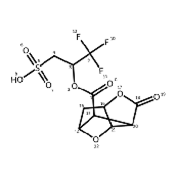 O=C(OC(CS(=O)(=O)O)C(F)(F)F)C1C2CC3OC(=O)C1C3O2